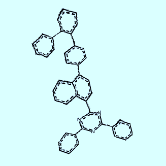 c1ccc(-c2nc(-c3ccccc3)nc(-c3ccc(-c4ccc(-c5ccccc5-c5ccccc5)cc4)c4ccccc34)n2)cc1